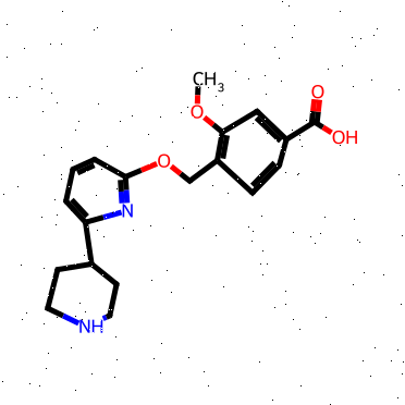 COc1cc(C(=O)O)ccc1COc1cccc(C2CCNCC2)n1